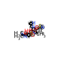 CC(C)CN(CC(O)C(Cc1ccccc1)NC(=O)OCc1cncs1)S(=O)(=O)c1ccc2nc(N(C)C)oc2c1